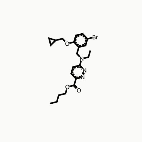 CCCCOC(=O)c1ccc(N(CC)Cc2cc(Br)ccc2OCC2CC2)nn1